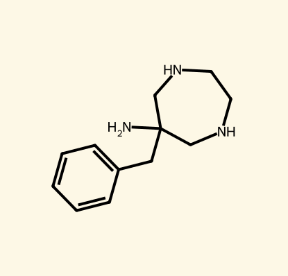 NC1(Cc2ccccc2)CNCCNC1